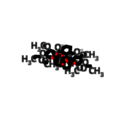 CCC(=O)Oc1c(OC)cc(C[N+]2(C)[C@@H]3CC[C@H]2C[C@@H](C2C(C(=O)[O-])CCCC2(C(=O)[O-])[C@H]2C[C@H]4CC[C@@H](C2)[N+]4(C)Cc2cc(OC)c(OC(=O)CC)c(OC)c2)C3)cc1OC